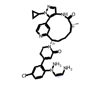 C[C@@H]1CCC[C@H](N2CCC(c3cc(Cl)ccc3N(N)/C=C\N)=CC2=O)c2cc(ccn2)-c2c(cnn2C2CC2)NC1=O